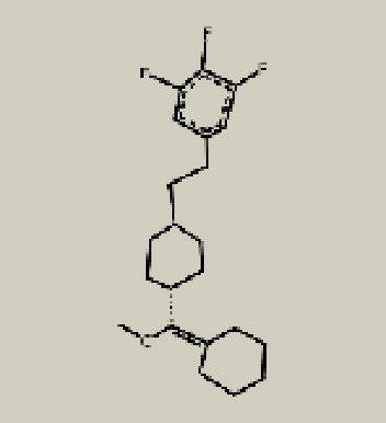 COC(=C1CCCCC1)[C@H]1CC[C@H](CCc2cc(F)c(F)c(F)c2)CC1